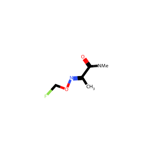 CNC(=O)/C(C)=N/OCF